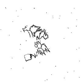 O=C(NCCN1CCCC1)c1cnccc1Nc1nc(-c2cccc(C(F)(F)I)n2)nn2cccc12